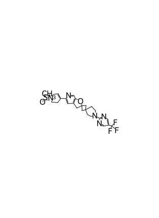 C[S+]([O-])N1CC=C(c2cc3c(cn2)OC2(C3)CC3(CCN(c4ncc(C(F)(F)F)cn4)CC3)C2)CC1